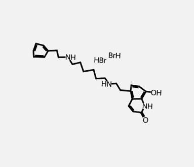 Br.Br.O=c1ccc2c(CCNCCCCCCNCCc3ccccc3)ccc(O)c2[nH]1